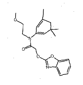 COCCN(C(=O)COc1nc2ccccc2o1)C1=CC(C)(C)CC(C)=C1